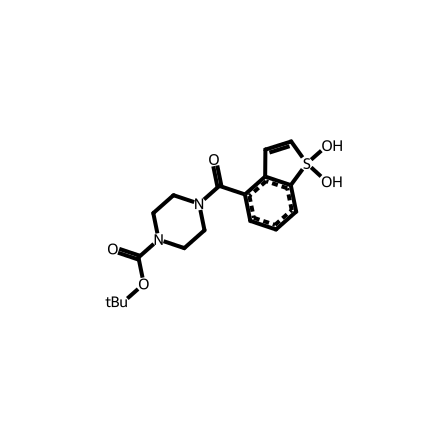 CC(C)(C)OC(=O)N1CCN(C(=O)c2cccc3c2C=CS3(O)O)CC1